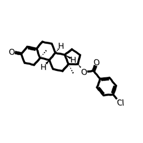 C[C@]12CC[C@H]3[C@@H](CCC4=CC(=O)CC[C@@]43C)[C@@H]1CC[C@@H]2OC(=O)c1ccc(Cl)cc1